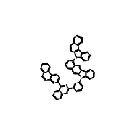 c1cc(-c2nc(-c3ccc4c(ccc5ccccc54)c3)c3ccccc3n2)cc(-n2c3ccccc3c3cc4c(-n5c6ccccc6c6c7ccccc7ccc65)cccc4cc32)c1